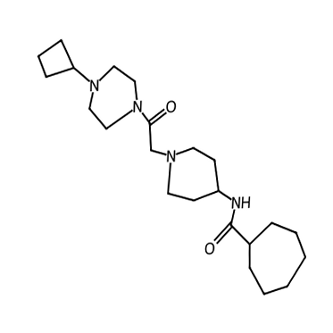 O=C(NC1CCN(CC(=O)N2CCN(C3CCC3)CC2)CC1)C1CCCCCC1